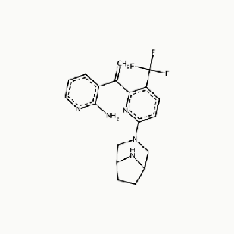 C=C(c1cccnc1N)c1nc(N2CC3CCC(C2)N3)ccc1C(F)(F)F